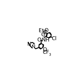 CCS(=O)(=O)c1ccc(Cl)cc1CNC(=O)c1cc(CN2CCN(C)CC2)cc(OC(F)(F)F)c1